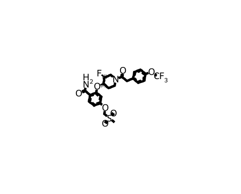 CS(=O)(=O)COc1ccc(C(N)=O)c(O[C@@H]2CCN(C(=O)Cc3ccc(OC(F)(F)F)cc3)C[C@@H]2F)c1